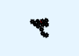 c1ccc(C2(c3ccc(N(c4ccc(-c5ccc6sc7ccccc7c6c5)cc4)c4cccc5c4-c4ccccc4C54c5ccccc5-n5c6ccccc6c6cccc4c65)cc3)c3ccccc3-c3ccccc32)cc1